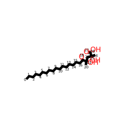 CCCCCCCCCCCCCCCCCC(=O)C(C)(O)CC(C)(O)C(=O)O